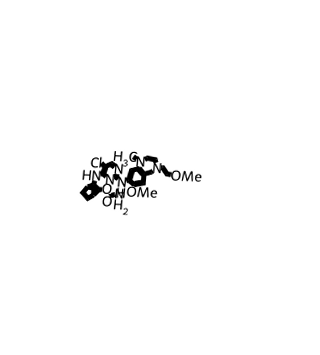 COCCN1CCN(C)c2cc(Nc3ncc(Cl)c(NC4C5CCC(C5)C4OC(N)=O)n3)c(OC)cc2C1